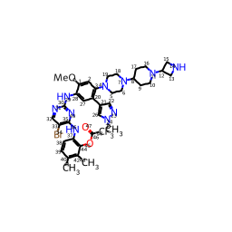 COc1cc(N2CCN(C3CCN(C4CNC4)CC3)CC2)c(-c2cnn(C)c2)cc1Nc1ncc(Br)c(Nc2ccc(C)c(C)c2OC(=O)C(F)(F)F)n1